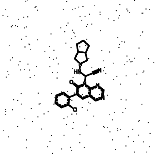 N#CC(NN1CC2CCCC2C1)n1c(=O)c(-c2ccccc2Cl)cc2cncnc21